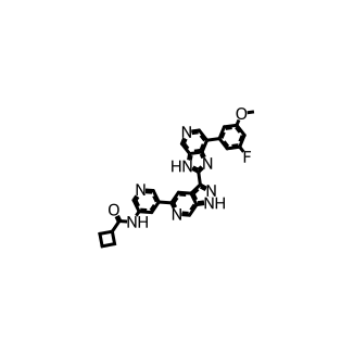 COc1cc(F)cc(-c2cncc3[nH]c(-c4n[nH]c5cnc(-c6cncc(NC(=O)C7CCC7)c6)cc45)nc23)c1